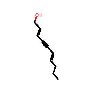 CCCC=CC#CC=CCO